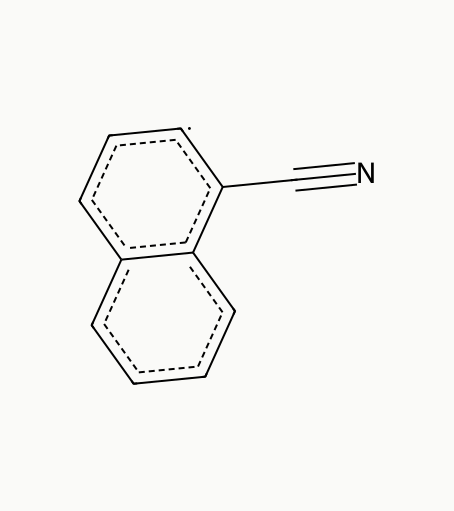 N#Cc1[c]ccc2ccccc12